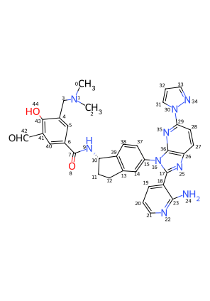 CN(C)Cc1cc(C(=O)N[C@H]2CCc3cc(-n4c(-c5cccnc5N)nc5ccc(-n6cccn6)nc54)ccc32)cc(C=O)c1O